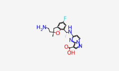 C[C@@H](Nc1ccn2ncc(C(=O)O)c2n1)c1cc(F)cc2c1O[C@](C)(CCN)C2